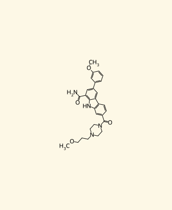 COCCCN1CCN(C(=O)c2ccc3c(c2)[nH]c2c(C(N)=O)cc(-c4cccc(OC)c4)cc23)CC1